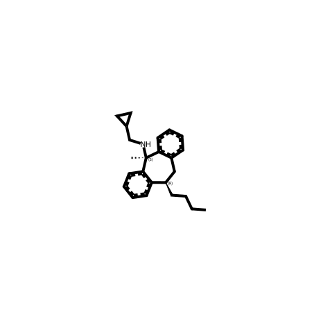 CCCC[C@@H]1Cc2ccccc2[C@](C)(NCC2CC2)c2ccccc21